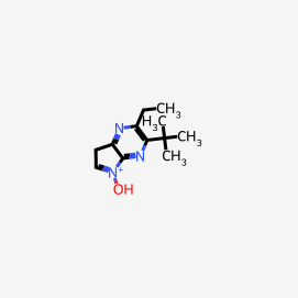 CCc1nc2c(nc1C(C)(C)C)[N+](O)=CC2